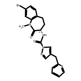 CN1C(=O)[C@@H](NC(=O)n2cc(Cc3ccccn3)cn2)CCc2ccc(Br)cc21